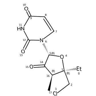 CC[C@@]1(CCl)O[C@@H](n2ccc(=O)[nH]c2=O)C(=O)[C@@H]1C